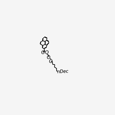 CCCCCCCCCCCCCCCCOCOCCOC(=O)c1cc2ccc3cccc4ccc(c1)c2c34